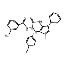 Cc1nn(-c2ccccc2)c2c1[C@H](c1ccc(F)cc1)[C@H](NC(=O)c1cccc(C(C)(C)C)c1)C(=O)N2